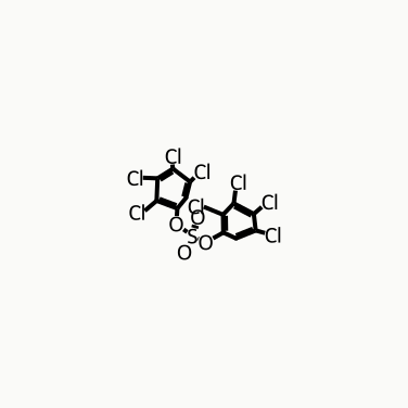 O=S(=O)(Oc1cc(Cl)c(Cl)c(Cl)c1Cl)Oc1cc(Cl)c(Cl)c(Cl)c1Cl